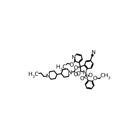 CCCN1CCC(C2CCN(C(=O)OC3(c4cccnc4OCC)C(=O)N(S(=O)(=O)c4ccccc4OCC)c4ccc(C#N)cc43)CC2)CC1